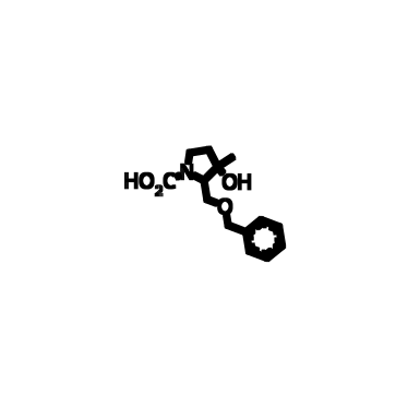 CC1(O)CCN(C(=O)O)C1COCc1ccccc1